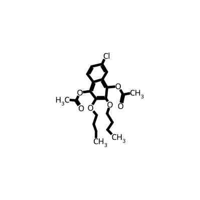 CCCCOc1c(OCCCC)c(OC(C)=O)c2cc(Cl)ccc2c1OC(C)=O